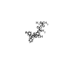 CN(C)C(=O)COC(=O)[C@@H](N)Cc1cccc(S(=O)(=O)N2CC(Oc3cccc(F)c3)(c3ccccc3)C2)c1.Cl